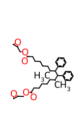 CC(CCCCCC(=O)OCC1CO1)C(c1ccccc1)C(c1ccccc1)C(C)CCCCCC(=O)OCC1CO1